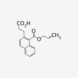 C=CCOC(=O)c1c(CCC(=O)O)ccc2ccccc12